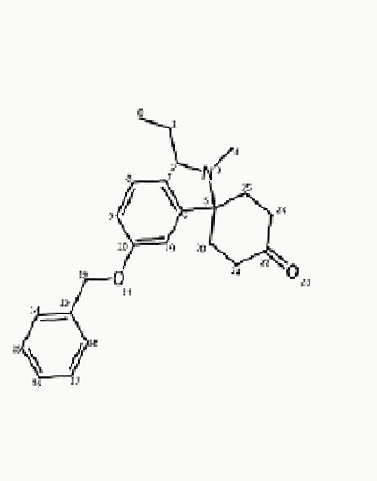 CCCN(C)C1(c2cccc(OCc3ccccc3)c2)CCC(=O)CC1